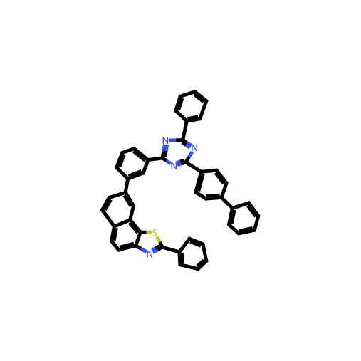 c1ccc(-c2ccc(-c3nc(-c4ccccc4)nc(-c4cccc(-c5ccc6ccc7nc(-c8ccccc8)sc7c6c5)c4)n3)cc2)cc1